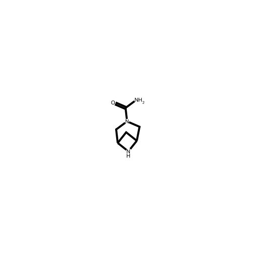 NC(=O)N1CC2CC(C1)N2